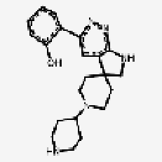 Oc1ccccc1-c1cc2c(nn1)NCC21CCN(C2CCNCC2)CC1